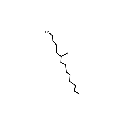 CCCCCCCCC(I)CCCCBr